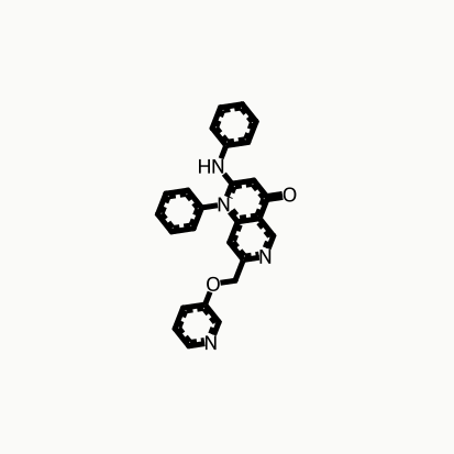 O=c1cc(Nc2ccccc2)n(-c2ccccc2)c2cc(COc3cccnc3)ncc12